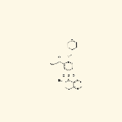 CC[C@H]1CCc2ccccc2N1S(=O)(=O)c1ccc(OCC2CCOCC2)c(C(=O)OC)c1